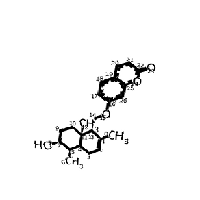 CC1=CCC2[C@@H](C)[C@@H](O)CC[C@]2(C)[C@@H]1COc1ccc2ccc(=O)oc2c1